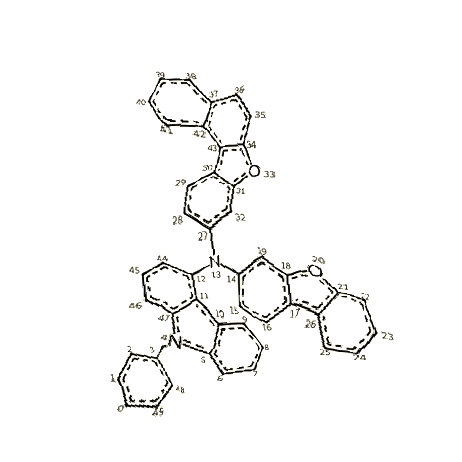 c1ccc(-n2c3ccccc3c3c(N(c4ccc5c(c4)oc4ccccc45)c4ccc5c(c4)oc4ccc6ccccc6c45)cccc32)cc1